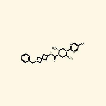 C[C@@H]1CN(c2ncc(C#N)cn2)[C@@H](C)CN1C(=O)NC1CC2(C1)CN(Cc1ccccc1)C2